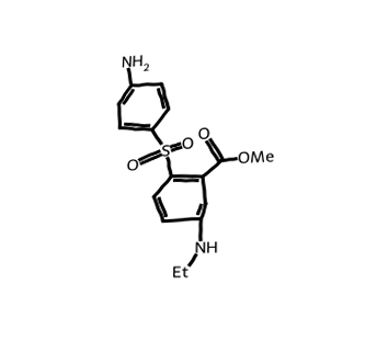 CCNc1ccc(S(=O)(=O)c2ccc(N)cc2)c(C(=O)OC)c1